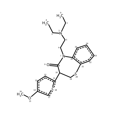 CCN(CC)CCN1C(=O)C(c2ccc(OC)cc2)CSc2ccccc21